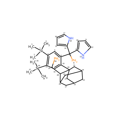 C[Si](C)(C)c1cc(C(P)(c2ccc[nH]2)c2ccc[nH]2)c(C23CC4CC(CC(C4)C2CP)C3)cc1[Si](C)(C)C